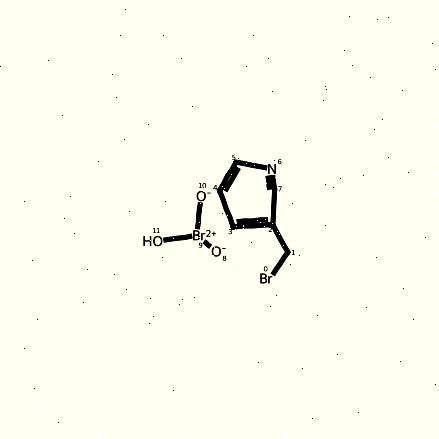 BrCc1cccnc1.[O-][Br+2]([O-])O